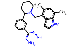 Cc1cc(C)c2[nH]ccc2c1CN1CCCCC1c1cccc(/C(N=N)=N/N)c1